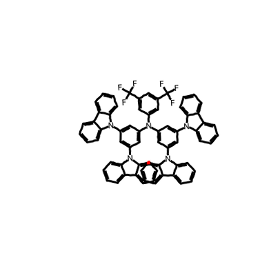 FC(F)(F)c1cc(N(c2cc(-n3c4ccccc4c4ccccc43)cc(-n3c4ccccc4c4ccccc43)c2)c2cc(-n3c4ccccc4c4ccccc43)cc(-n3c4ccccc4c4ccccc43)c2)cc(C(F)(F)F)c1